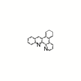 C1=c2c(c3cc4ccccc4nc3c3ncccc23)=CCC1